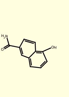 NC(=O)c1ccc2c(O)cccc2c1